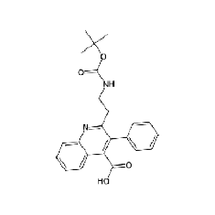 CC(C)(C)OC(=O)NCCc1nc2ccccc2c(C(=O)O)c1-c1ccccc1